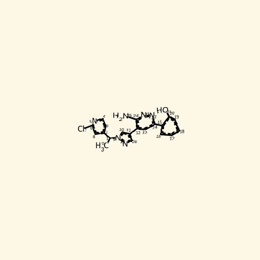 CC(c1ccnc(Cl)c1)n1cc(-c2cc(-c3ccccc3O)nnc2N)cn1